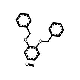 C=O.c1ccc(COc2ccccc2OCc2ccccc2)cc1